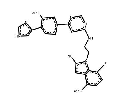 COc1cc(-c2cc(NCCn3c(C#N)cc4c(OC)ccc(F)c43)ncn2)ccc1-c1c[nH]cn1